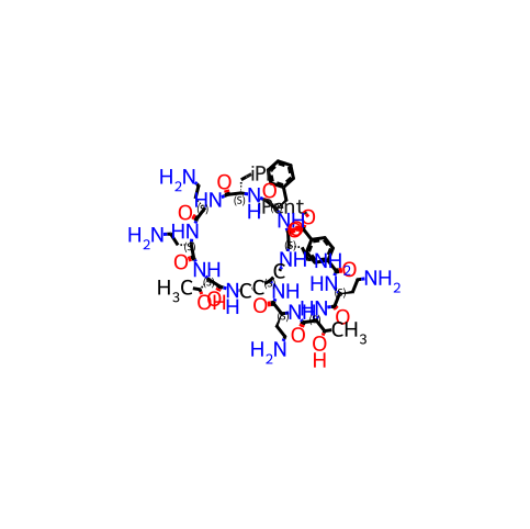 CCCC(C)OC(=O)c1ccc(C(=O)N[C@@H](CCN)C(=O)N[C@H](C(=O)N[C@@H](CCN)C(=O)N[C@H]2CCNC(=O)[C@H](C(C)O)NC(=O)[C@H](CCN)NC(=O)[C@H](CCN)NC(=O)[C@H](CC(C)C)NC(=O)[C@@H](Cc3ccccc3)NC(=O)[C@H](CCN)NC2)C(C)O)cc1